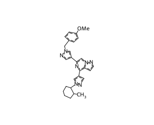 COc1ccc(Cn2cc(-c3cn4nccc4c(-c4cnn(C5CCCCC5C)c4)n3)cn2)cc1